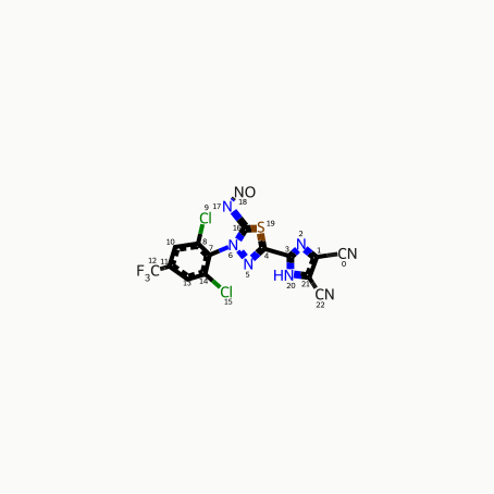 N#Cc1nc(-c2nn(-c3c(Cl)cc(C(F)(F)F)cc3Cl)c(=NN=O)s2)[nH]c1C#N